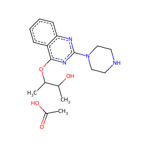 CC(=O)O.CC(O)C(C)Oc1nc(N2CCNCC2)nc2ccccc12